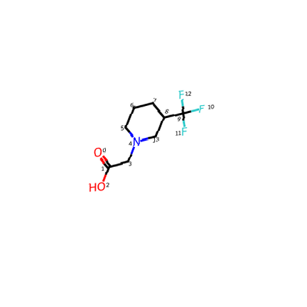 O=C(O)CN1CCCC(C(F)(F)F)C1